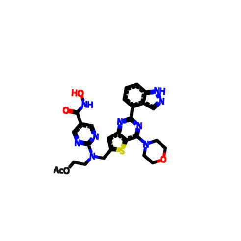 CC(=O)OCCN(Cc1cc2nc(-c3cccc4[nH]ncc34)nc(N3CCOCC3)c2s1)c1ncc(C(=O)NO)cn1